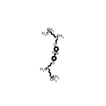 CN(C)CCCCN(C)CCCOc1ccc(-c2nc3ccc(OCCCN(C)CCCCN(C)C)cc3o2)cc1